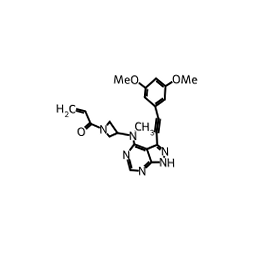 C=CC(=O)N1CC(N(C)c2ncnc3[nH]nc(C#Cc4cc(OC)cc(OC)c4)c23)C1